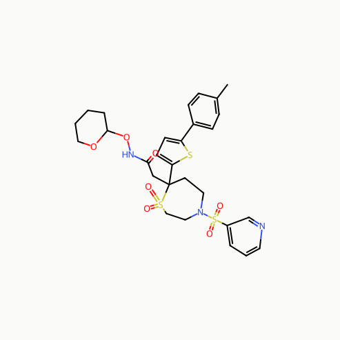 Cc1ccc(-c2ccc(C3(CC(=O)NOC4CCCCO4)CCN(S(=O)(=O)c4cccnc4)CCS3(=O)=O)s2)cc1